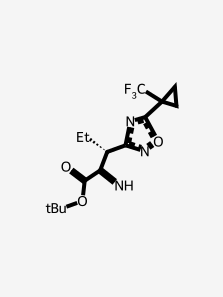 CC[C@@H](C(=N)C(=O)OC(C)(C)C)c1noc(C2(C(F)(F)F)CC2)n1